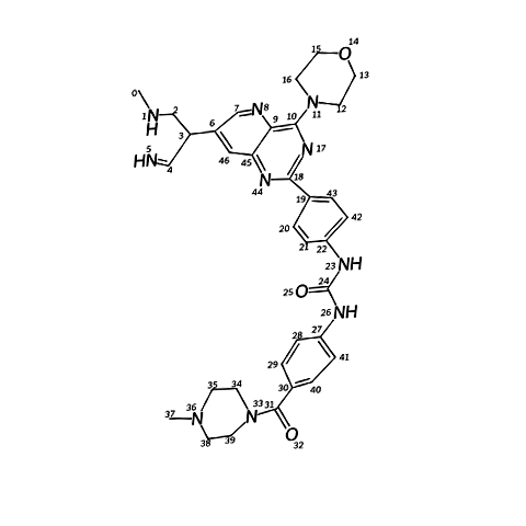 CNCC(C=N)c1cnc2c(N3CCOCC3)nc(-c3ccc(NC(=O)Nc4ccc(C(=O)N5CCN(C)CC5)cc4)cc3)nc2c1